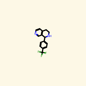 FC(F)(F)c1ccc(C2NCCc3ccncc32)cc1